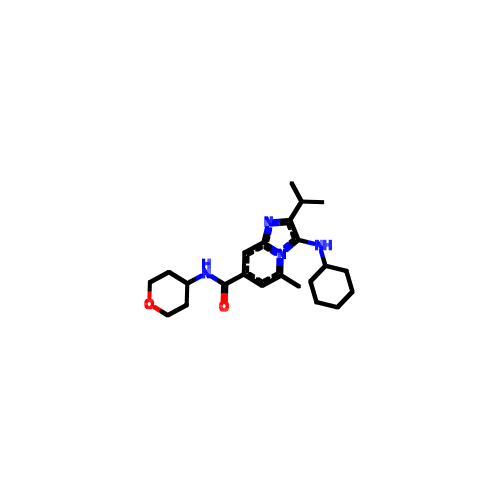 Cc1cc(C(=O)NC2CCOCC2)cc2nc(C(C)C)c(NC3CCCCC3)n12